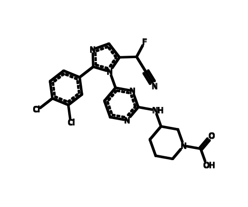 N#CC(F)c1cnc(-c2ccc(Cl)c(Cl)c2)n1-c1ccnc(NC2CCCN(C(=O)O)C2)n1